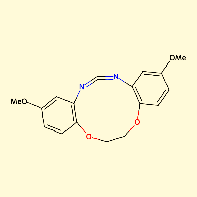 COc1ccc2c(c1)N=C=Nc1cc(OC)ccc1OCCO2